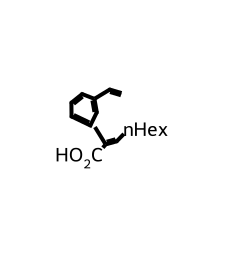 C=Cc1ccccc1.CCCCCC/C=C(\C)C(=O)O